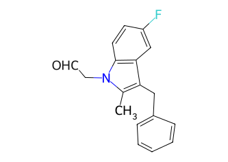 Cc1c(Cc2ccccc2)c2cc(F)ccc2n1CC=O